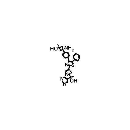 CC(O)(c1cncnc1)c1ncc(-c2nc(-c3ccc([C@]4(N)C[C@](C)(O)C4)cc3)c(-c3ccccc3)s2)s1